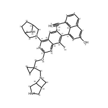 C#Cc1cccc2cc(O)cc(-c3c(F)cc4c(N5CC6CCC(C5)N6)nc(OCC5(CN6CC7CNCC76)CC5)nc4c3F)c12